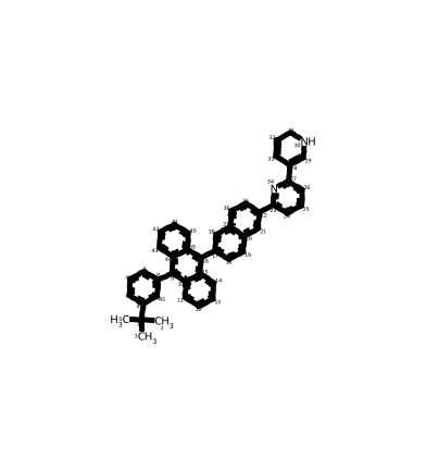 CC(C)(C)c1cccc(-c2c3ccccc3c(-c3ccc4cc(-c5cccc(C6=CNCC=C6)n5)ccc4c3)c3ccccc23)c1